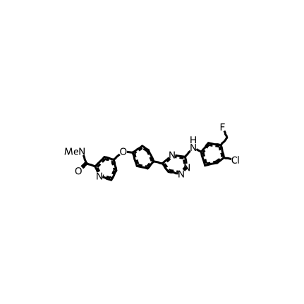 CNC(=O)c1cc(Oc2ccc(-c3cnnc(Nc4ccc(Cl)c(CF)c4)n3)cc2)ccn1